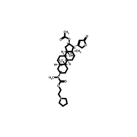 CC(=O)O[C@@H]1C[C@@]2(O)[C@@H]3CC[C@@H]4C[C@H](N(C)C(=O)OCCN5CCCC5)CC[C@@]4(C)[C@@H]3CC[C@]2(C)[C@H]1C1=CC(=O)OC1